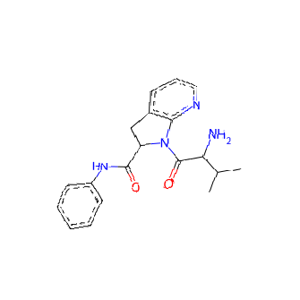 CC(C)C(N)C(=O)N1c2ncccc2CC1C(=O)Nc1ccccc1